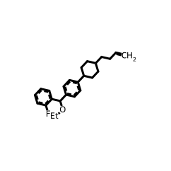 C=CCCC1CCC(c2ccc(C(OCC)c3ccccc3F)cc2)CC1